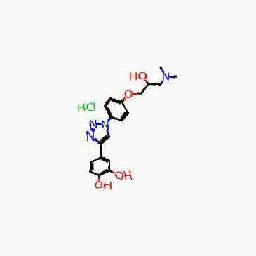 CN(C)CC(O)COc1ccc(-n2cc(-c3ccc(O)c(O)c3)nn2)cc1.Cl